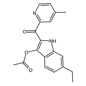 CCc1ccc2c(OC(C)=O)c(C(=O)c3cc(C)ccn3)[nH]c2c1